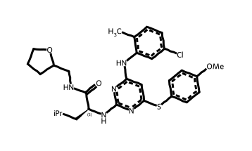 COc1ccc(Sc2cc(Nc3cc(Cl)ccc3C)nc(N[C@@H](CC(C)C)C(=O)NCC3CCCO3)n2)cc1